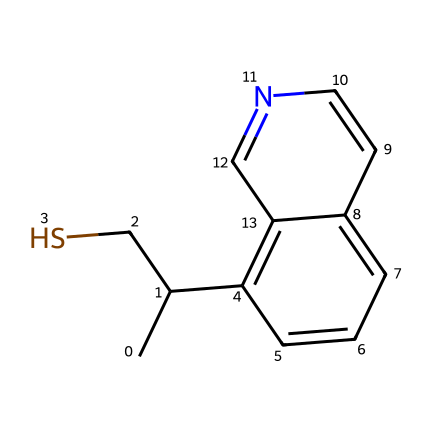 CC(CS)c1cccc2ccncc12